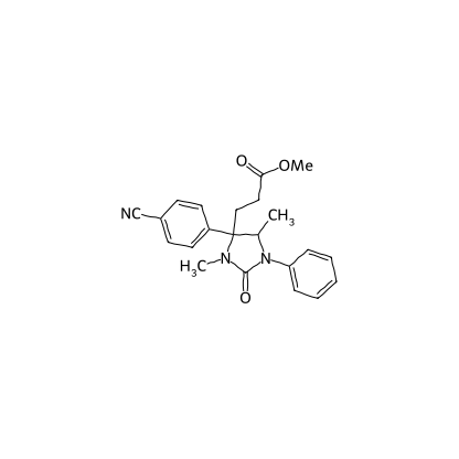 COC(=O)CCC1(c2ccc(C#N)cc2)C(C)N(c2ccccc2)C(=O)N1C